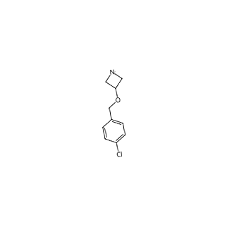 Clc1ccc(COC2C[N]C2)cc1